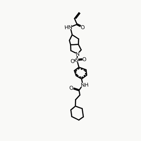 C=CC(=O)NC1CC2CN(S(=O)(=O)c3ccc(NC(=O)CCC4CCCCC4)cc3)CC2C1